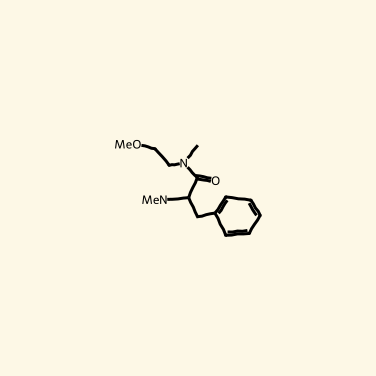 CNC(Cc1ccccc1)C(=O)N(C)CCOC